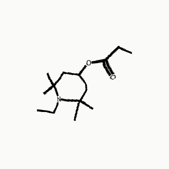 CCC(=O)OC1CC(C)(C)N(CC)C(C)(C)C1